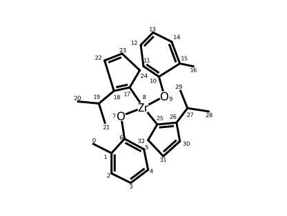 Cc1ccccc1[O][Zr]([O]c1ccccc1C)([C]1=C(C(C)C)C=CC1)[C]1=C(C(C)C)C=CC1